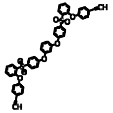 C#Cc1ccc(Oc2ccccc2S(=O)(=O)c2ccc(Oc3cccc(Oc4ccc(S(=O)(=O)c5ccccc5Oc5ccc(C#C)cc5)cc4)c3)cc2)cc1